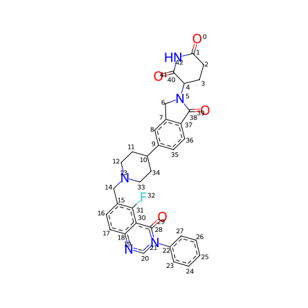 O=C1CCC(N2Cc3cc(C4CCN(Cc5ccc6ncn(-c7ccccc7)c(=O)c6c5F)CC4)ccc3C2=O)C(=O)N1